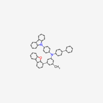 Cc1cc(-c2cccc3c2oc2ccccc23)cc(N(c2ccc(-c3ccccc3)cc2)c2ccc(-n3c4ccccc4c4ccccc43)cc2)c1